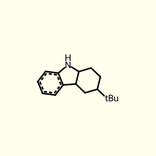 CC(C)(C)C1CCC2Nc3ccccc3C2C1